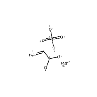 C=CC(Cl)Cl.O=S(=O)([O-])[O-].[Mg+2]